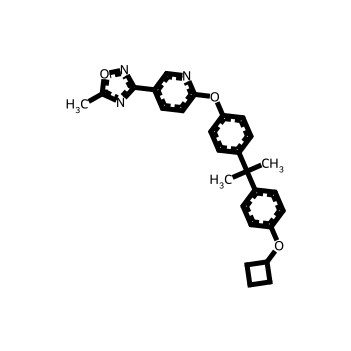 Cc1nc(-c2ccc(Oc3ccc(C(C)(C)c4ccc(OC5CCC5)cc4)cc3)nc2)no1